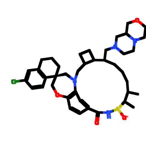 CC1CCCC(CN2CCN3CCOCC3C2)C2CCC2CN2C[C@@]3(CCCc4cc(Cl)ccc43)COc3ccc(cc32)C(=O)N[S+]([O-])C1C